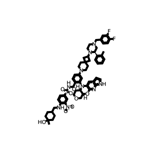 Cc1ccccc1[C@@H]1CN(Cc2ccc(F)c(F)c2)CCN1C1CC2(CCN(c3ccc(C(=O)NS(=O)(=O)c4ccc(NCC5CCC(C)(O)CC5)c([N+](=O)[O-])c4)c(N4c5cc6cc[nH]c6nc5O[C@@H]5COCC[C@H]54)c3)CC2)C1